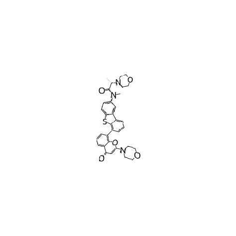 C[C@@H](C(=O)N(C)c1ccc2sc3c(-c4cccc5c(=O)cc(N6CCOCC6)oc45)cccc3c2c1)N1CCOCC1